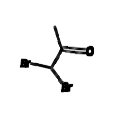 CC(=O)C(Br)Br